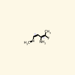 C=N/C=C\C(N)=C(/C)F